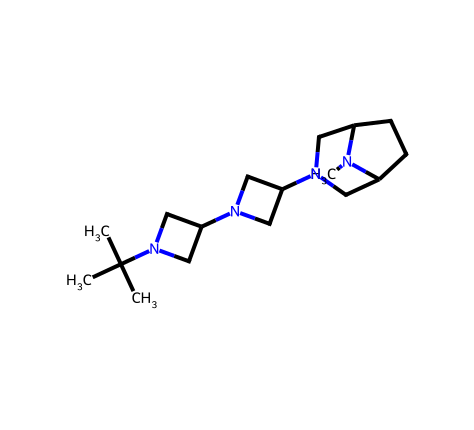 CN1C2CCC1CN(C1CN(C3CN(C(C)(C)C)C3)C1)C2